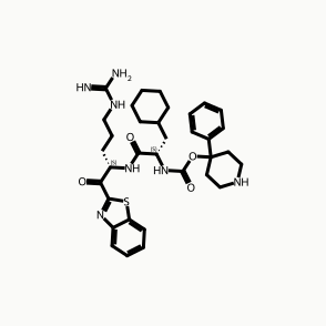 N=C(N)NCCC[C@H](NC(=O)[C@H](CC1CCCCC1)NC(=O)OC1(c2ccccc2)CCNCC1)C(=O)c1nc2ccccc2s1